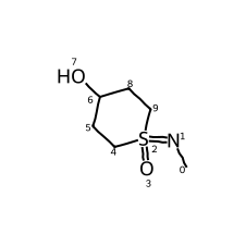 CN=S1(=O)CCC(O)CC1